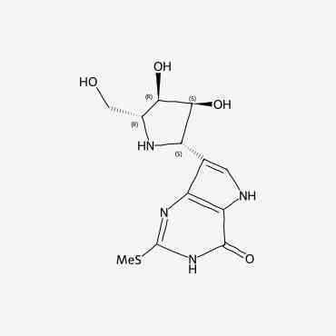 CSc1nc2c([C@@H]3N[C@H](CO)[C@@H](O)[C@H]3O)c[nH]c2c(=O)[nH]1